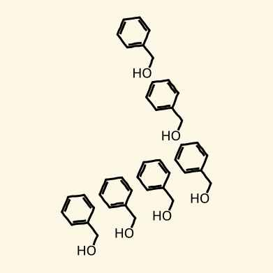 OCc1ccccc1.OCc1ccccc1.OCc1ccccc1.OCc1ccccc1.OCc1ccccc1.OCc1ccccc1